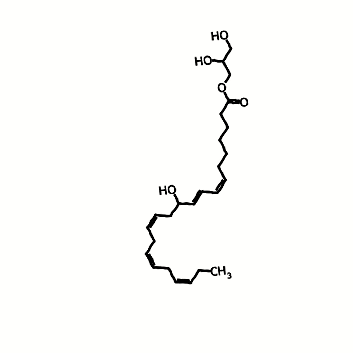 CC/C=C\C/C=C\C/C=C\CC(O)/C=C/C=C\CCCCCC(=O)OCC(O)CO